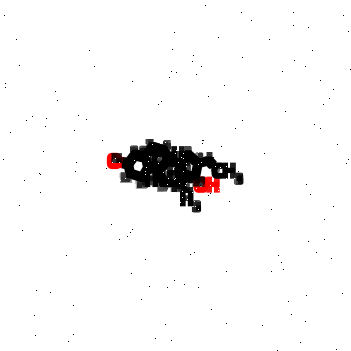 CCC1C[C@H]2[C@@H]3CCC4=CC(=O)CC[C@]4(C)[C@@H]3CC[C@]2(C)C1O